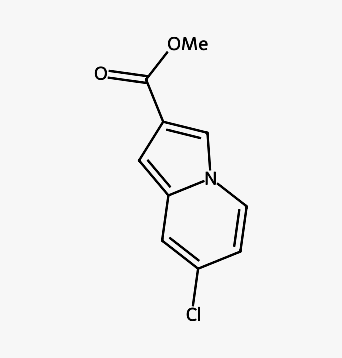 COC(=O)c1cc2cc(Cl)ccn2c1